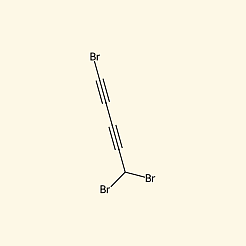 BrC#CC#CC(Br)Br